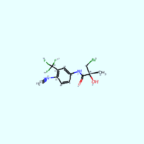 C[C@](O)(CBr)C(=O)Nc1ccc([15N+]#[13C-])c(C(F)(F)F)c1